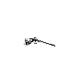 CCCCCCCCCCCCCCCC(=O)OC(CC)CC(O)CC(C)OC(C)=O